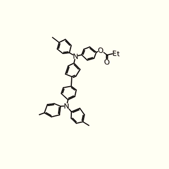 CCC(=O)Oc1ccc(N(c2ccc(C)cc2)c2ccc(-c3ccc(N(c4ccc(C)cc4)c4ccc(C)cc4)cc3)cc2)cc1